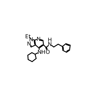 CCn1ncc2c(NC3CCCCC3)c(C(=O)NCCc3ccccc3)cnc21